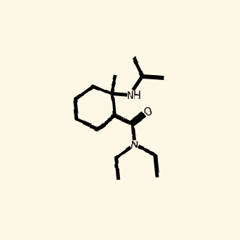 CCN(CC)C(=O)C1CCCCC1(C)NC(C)C